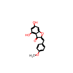 COc1ccc(C=C2Oc3cc(O)cc(O)c3C2=O)cc1